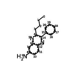 CCCCc1nc2cc(N)ccc2nc1-c1ccccc1